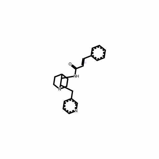 O=C(/C=C/c1ccccc1)NC1C2CCN(CC2)C1Cc1cccnc1